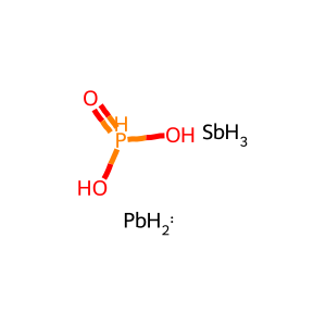 O=[PH](O)O.[PbH2].[SbH3]